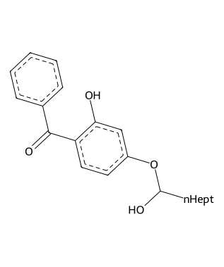 CCCCCCCC(O)Oc1ccc(C(=O)c2ccccc2)c(O)c1